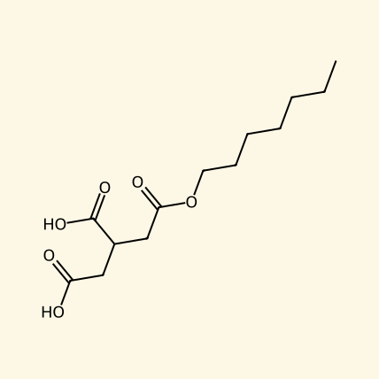 CCCCCCCOC(=O)CC(CC(=O)O)C(=O)O